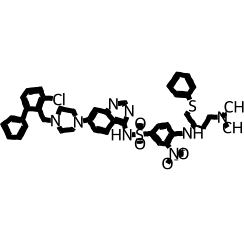 CN(C)CC[C@H](CSc1ccccc1)Nc1ccc(S(=O)(=O)Nc2ncnc3cc(N4CCN(Cc5c(Cl)cccc5-c5ccccc5)CC4)ccc23)cc1[N+](=O)[O-]